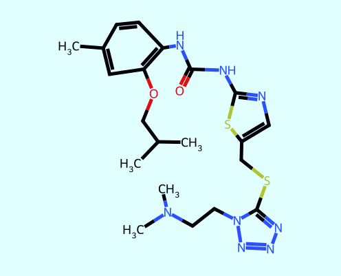 Cc1ccc(NC(=O)Nc2ncc(CSc3nnnn3CCN(C)C)s2)c(OCC(C)C)c1